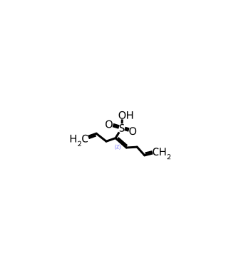 C=CC/C=C(/CC=C)S(=O)(=O)O